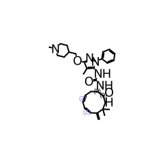 C=C1/C=C\C=C/C[C@@H](NC(=O)Nc2c(C)c(OCC3CCN(C)CC3)nn2-c2ccccc2)[C@H](O)CC1(C)C